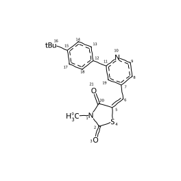 CN1C(=O)SC(=Cc2ccnc(-c3ccc(C(C)(C)C)cc3)c2)C1=O